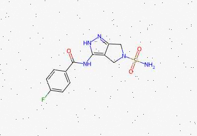 NS(=O)(=O)N1Cc2n[nH]c(NC(=O)c3ccc(F)cc3)c2C1